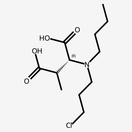 CCCCN(CCCCl)[C@@H](C(=O)O)C(C)C(=O)O